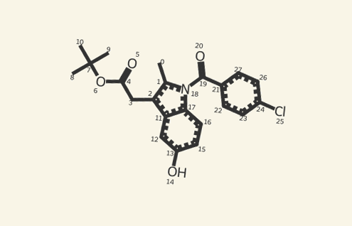 Cc1c(CC(=O)OC(C)(C)C)c2cc(O)ccc2n1C(=O)c1ccc(Cl)cc1